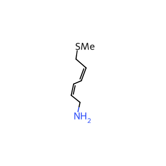 CSC/C=C\C=C/CN